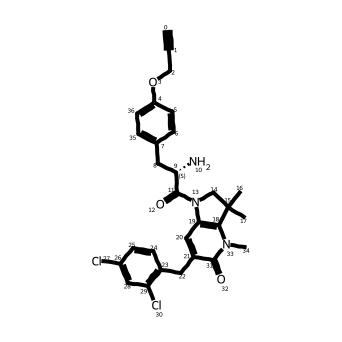 C#CCOc1ccc(C[C@H](N)C(=O)N2CC(C)(C)c3c2cc(Cc2ccc(Cl)cc2Cl)c(=O)n3C)cc1